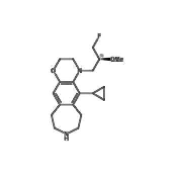 CO[C@H](CF)CN1CCOc2cc3c(c(C4CC4)c21)CCNCC3